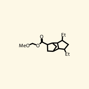 CCC1CC(CC)C2C3CC(CC3C(=O)OCOC)C12